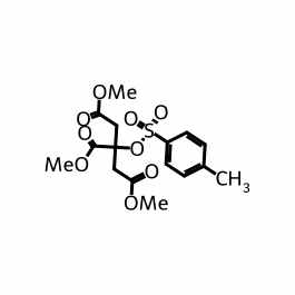 COC(=O)CC(CC(=O)OC)(OS(=O)(=O)c1ccc(C)cc1)C(=O)OC